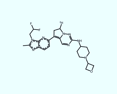 [2H]C1CC(c2ccc3nc(C)n(CC(F)F)c3n2)=C2C=NC(NC3CCN(C4COC4)CC3)=NN21